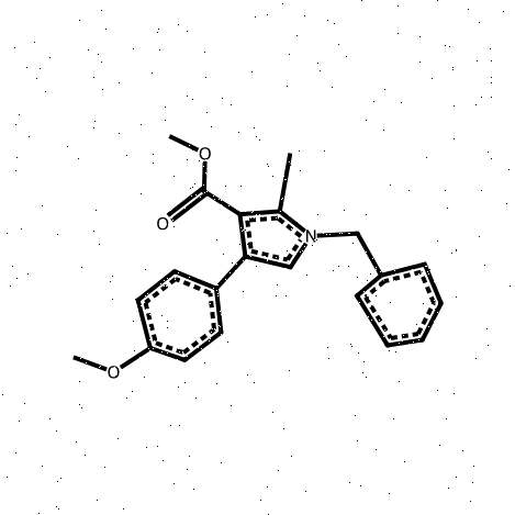 COC(=O)c1c(-c2ccc(OC)cc2)cn(Cc2ccccc2)c1C